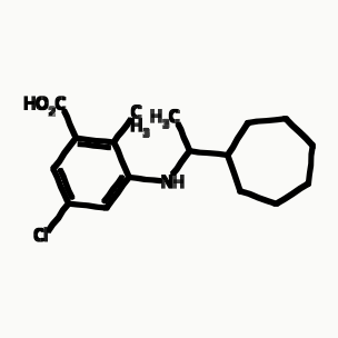 Cc1c(NC(C)C2CCCCCC2)cc(Cl)cc1C(=O)O